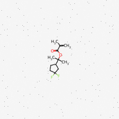 C=C(C)C(=O)OC(C)(C)C1CCC(F)(F)C1